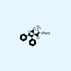 CCC[C@@H](C)[C@@H](C)C(=O)N1C(=O)O[C@H](c2ccccc2)[C@@H]1c1ccccc1